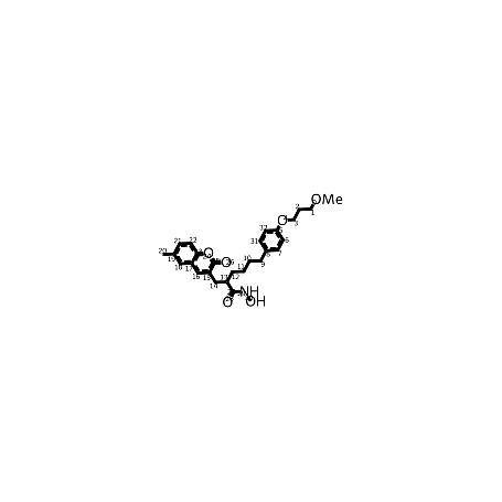 COCCCOc1ccc(CCCCC(Cc2cc3cc(C)ccc3oc2=O)C(=O)NO)cc1